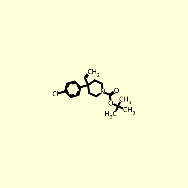 C=CC1(c2ccc(Cl)cc2)CCN(C(=O)OC(C)(C)C)CC1